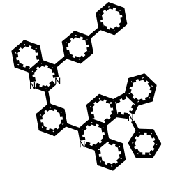 c1ccc(-c2ccc(-c3nc(-c4cccc(-c5nc6ccccc6c6c5ccc5c7ccccc7n(-c7ccccc7)c56)c4)nc4ccccc34)cc2)cc1